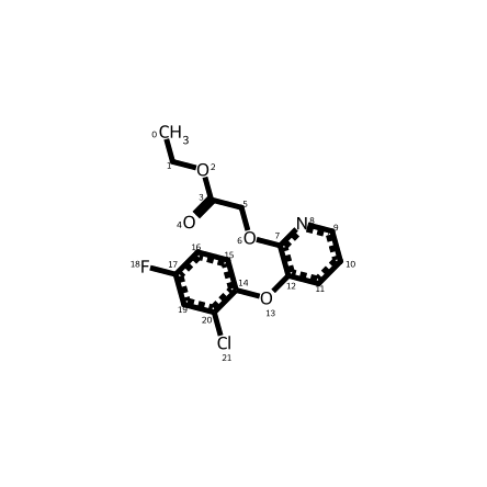 CCOC(=O)COc1ncccc1Oc1ccc(F)cc1Cl